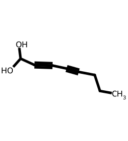 CCCC#CC#CC(O)O